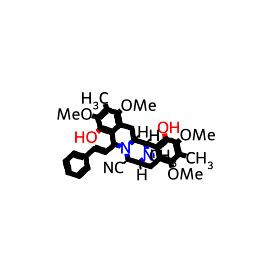 COc1c(C)c(OC)c2c(c1O)C(/C=C/c1ccccc1)N1[C@@H](C#N)[C@@H]3Cc4c(OC)c(C)c(OC)c(O)c4[C@H]([C@@H]1C2)N3C